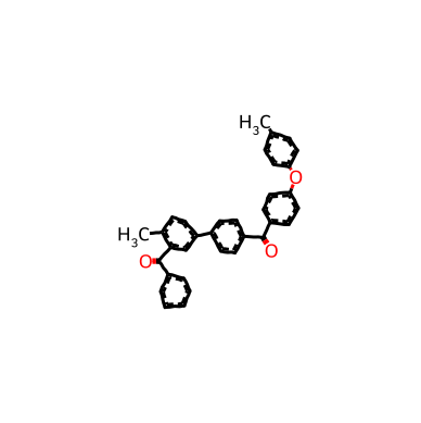 Cc1ccc(Oc2ccc(C(=O)c3ccc(-c4ccc(C)c(C(=O)c5ccccc5)c4)cc3)cc2)cc1